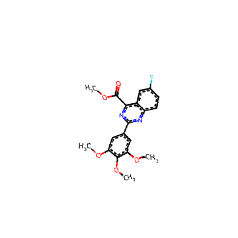 COC(=O)c1nc(-c2cc(OC)c(OC)c(OC)c2)nc2ccc(F)cc12